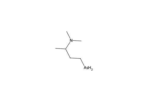 CC(CC[AsH2])N(C)C